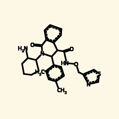 Cc1ccc(C2C(C(=O)NOCc3cscn3)c3ccccc3C(=O)N2C2CCCCC2N)c(C)c1